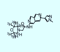 [2H]C1([2H])OC([2H])([2H])C([2H])([2H])N(CC(=O)Nc2cc3cc(-c4cnn(C)c4)ncc3cn2)C1([2H])[2H]